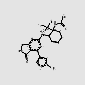 Cn1cc(-c2nc(NC3CCCCC3(NC(=O)O)C(C)(C)C)cc3c2C(=O)NC3)cn1